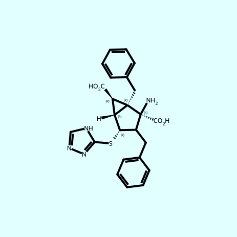 N[C@@]1(C(=O)O)C(Cc2ccccc2)[C@H](Sc2nnc[nH]2)[C@@H]2[C@@H](C(=O)O)[C@]21Cc1ccccc1